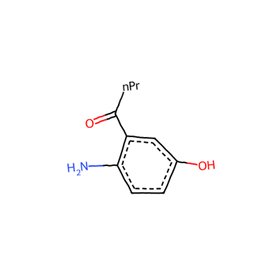 CCCC(=O)c1cc(O)ccc1N